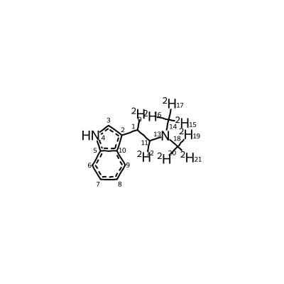 [2H]C(c1c[nH]c2ccccc12)C([2H])N(C([2H])([2H])[2H])C([2H])([2H])[2H]